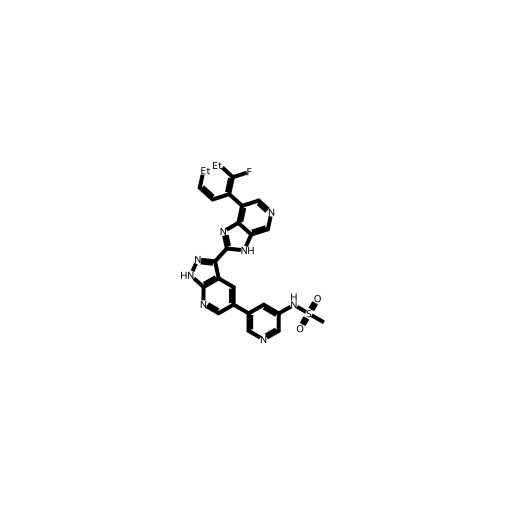 CC/C=C\C(=C(\F)CC)c1cncc2[nH]c(-c3n[nH]c4ncc(-c5cncc(NS(C)(=O)=O)c5)cc34)nc12